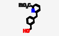 CCOC(=O)c1cccc(Cc2cccc(CO)c2)n1